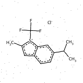 Cc1cc2ccc(C(C)C)cc2[s+]1C(F)(F)F.[Cl-]